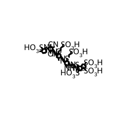 CC(=O)Nc1cc(N=Nc2cc(OCCCS(=O)(=O)O)c(N=Nc3c(C)c(C#N)c4nc5c(S(=O)(=O)O)c(C)ccc5n4c3O)cc2C)c(SCCCS(=O)(=O)O)cc1N=Nc1nc2c(S(=O)(=O)O)cc3c(S(=O)(=O)O)cc(S(=O)(=O)O)cc3c2s1